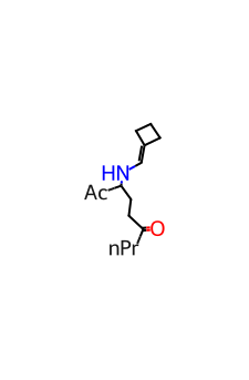 CCCC(=O)CCC(NC=C1CCC1)C(C)=O